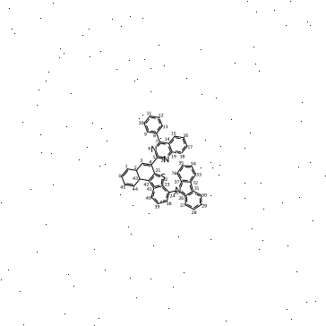 C1=CC2C=C(c3nc(-c4ccccc4)c4ccccc4n3)c3sc4c(-n5c6ccccc6c6ccccc65)cccc4c3C2C=C1